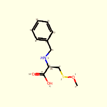 COSC[C@H](NCc1ccccc1)C(=O)O